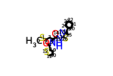 CSCCC(NC(=O)c1cccs1)C(=O)Nc1nc(-c2ccccc2)cs1